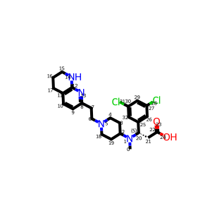 CN(C1CCN(CCc2ccc3c(n2)NCCC3)CC1)[C@@H](CC(=O)O)c1cc(Cl)cc(Cl)c1